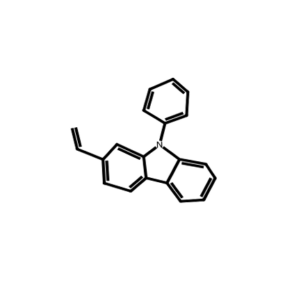 C=Cc1ccc2c3ccccc3n(-c3ccccc3)c2c1